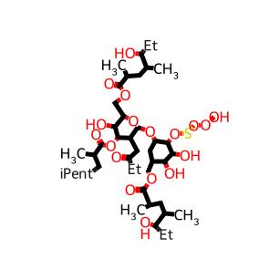 CCCC(C)CC(C)C(=O)OC1C(O)C(COC(=O)C(C)CC(C)C(O)CC)OC(OC2CC(COC(=O)C(C)CC(C)C(O)CC)C(O)C(O)C2OSOOO)C1CC(=O)CC